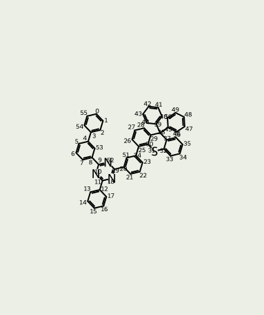 c1ccc(-c2cccc(-c3nc(-c4ccccc4)nc(-c4cccc(-c5cccc6c5Sc5ccccc5C6(c5ccccc5)c5ccccc5)c4)n3)c2)cc1